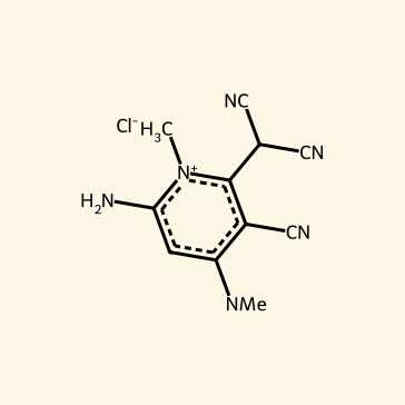 CNc1cc(N)[n+](C)c(C(C#N)C#N)c1C#N.[Cl-]